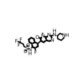 Cn1c(=O)c(-c2cc(F)c(NS(=O)(=O)CCC(F)(F)F)c3ccccc23)cc2cnc(N[C@H]3CCCNC3)nc21